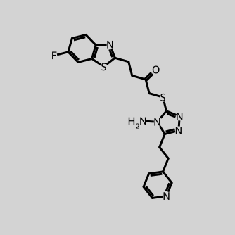 Nn1c(CCc2cccnc2)nnc1SCC(=O)CCc1nc2ccc(F)cc2s1